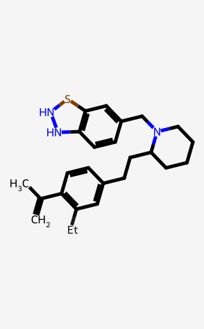 C=C(C)c1ccc(CCC2CCCCN2Cc2ccc3c(c2)SNN3)cc1CC